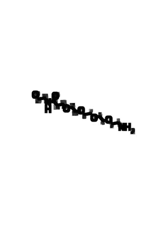 NCCOCCOCCOCCOCCC(=O)NCC=O